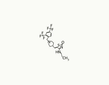 CCCNC1=NC(=O)S/C1=C\C1CCN(Cc2ccc(C(F)(F)F)cc2C(F)(F)F)CC1